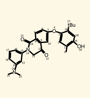 Cc1cc(Oc2ccc3c(c2)C(=O)CN(c2cccc(N(C)C)c2)C3=O)c(C(C)(C)C)cc1O